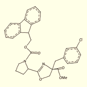 COC(=O)C1(Cc2cccc(Cl)c2)COC(C2CCCN2C(=O)OCC2c3ccccc3-c3ccccc32)=N1